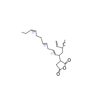 C=CC(CC)CC(/C=C/C/C=C/CC/C=C\CC)C1CC(=O)OC1=O